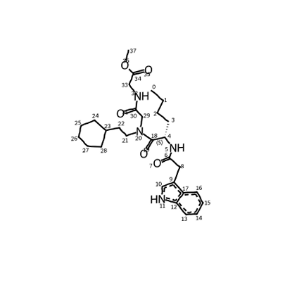 CCCC[C@H](NC(=O)Cc1c[nH]c2ccccc12)C(=O)N(CCC1CCCCC1)CC(=O)NCC(=O)OC